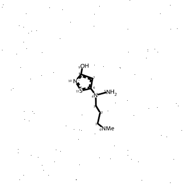 CNCCCN(N)c1cc(O)ns1